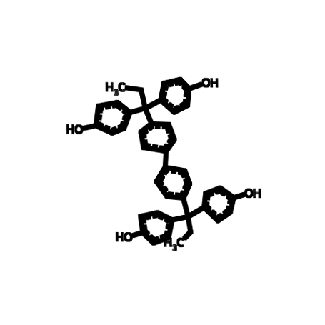 CCC(c1ccc(O)cc1)(c1ccc(O)cc1)c1ccc(-c2ccc(C(CC)(c3ccc(O)cc3)c3ccc(O)cc3)cc2)cc1